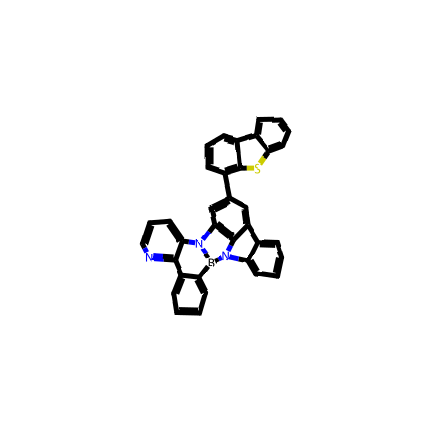 c1ccc2c(c1)B1N(c3cccnc3-2)c2cc(-c3cccc4c3sc3ccccc34)cc3c4ccccc4n1c23